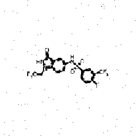 O=c1[nH]n(CC(F)(F)F)c2ccc(NS(=O)(=O)c3ccc(F)c(C(F)(F)F)c3)cc12